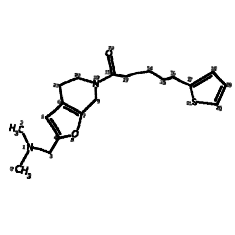 CN(C)Cc1cc2c(o1)CN(C(=O)CCCCc1cccs1)CC2